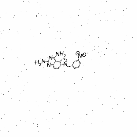 Nc1nc(N)c2c(ccc3c2ccn3Cc2cccc([N+](=O)[O-])c2)n1